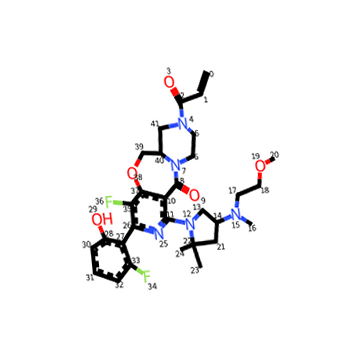 C=CC(=O)N1CCN2C(=O)c3c(N4CC(N(C)CCOC)CC4(C)C)nc(-c4c(O)cccc4F)c(F)c3OCC2C1